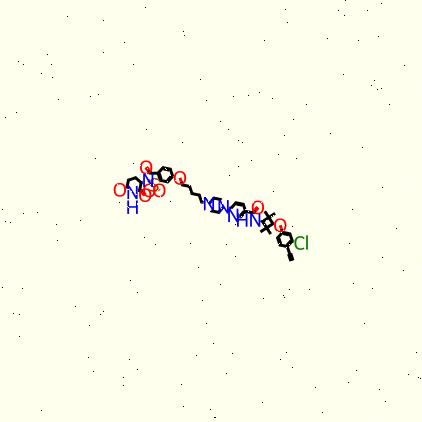 C#Cc1ccc(O[C@H]2C(C)(C)[C@H](NC(=O)c3ccc(N4CCN(CCCCCOc5ccc6c(c5)S(=O)(=O)N(C5CCC(=O)NC5=O)C6=O)CC4)nc3)C2(C)C)cc1Cl